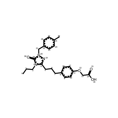 CCCn1c(CCCc2ccc(OCC(=O)O)cc2)nn(Cc2ccc(C)cc2)c1=O